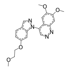 COCCOc1ccc2cnn(-c3cnnc4cc(OC)c(OC)cc34)c2c1